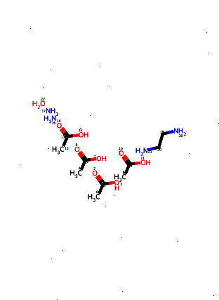 CC(=O)O.CC(=O)O.CC(=O)O.CC(=O)O.N.N.NCCN.O